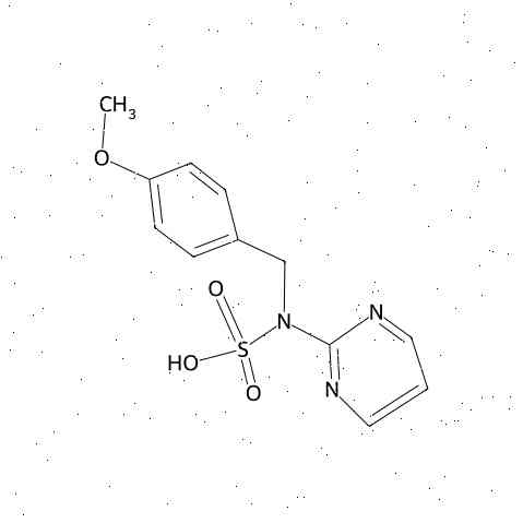 COc1ccc(CN(c2ncccn2)S(=O)(=O)O)cc1